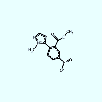 COC(=O)c1cc([N+](=O)[O-])ccc1-c1ccnn1C